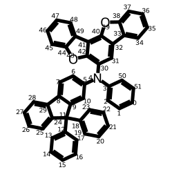 c1ccc(N(c2ccc3c(c2)C(c2ccccc2)(c2ccccc2)c2ccccc2-3)c2cc3c4ccccc4oc3c3c2oc2ccccc23)cc1